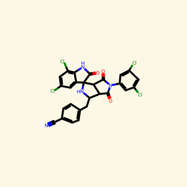 N#Cc1ccc(CC2NC3(C(=O)Nc4c(Cl)cc(Cl)cc43)C3C(=O)N(c4cc(Cl)cc(Cl)c4)C(=O)C23)cc1